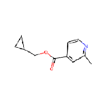 Cc1cc(C(=O)OCC2CC2)ccn1